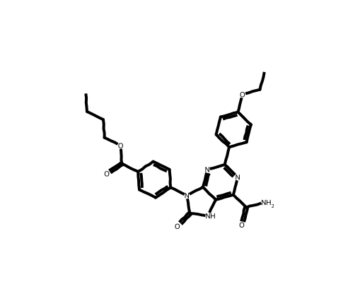 CCCCOC(=O)c1ccc(-n2c(=O)[nH]c3c(C(N)=O)nc(-c4ccc(OCC)cc4)nc32)cc1